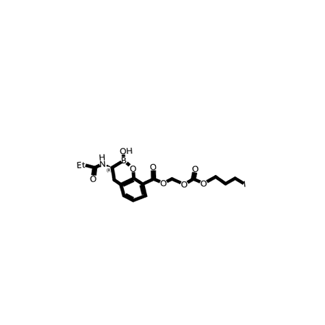 CCC(=O)N[C@H]1Cc2cccc(C(=O)OCOC(=O)OCCCI)c2OB1O